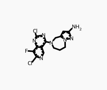 Nc1cc2n(n1)CCCN(c1nc(Cl)nc3c(F)c(Cl)ncc13)C2